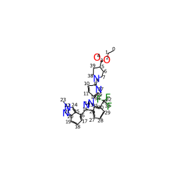 CCOC(=O)C1CCN(c2ccc(-n3nc(-c4cccc5nn(C)cc45)c4cccc(C(F)(F)F)c43)cn2)CC1